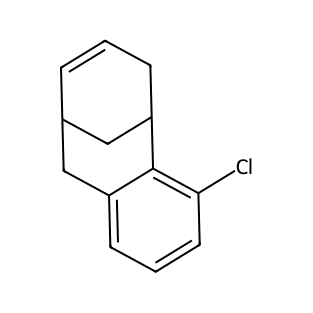 Clc1cccc2c1C1CC=CC(C2)C1